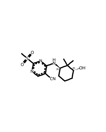 CC1(C)[C@H](O)CCC[C@H]1Nc1nc(S(C)(=O)=O)ncc1C#N